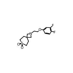 O=S1(=O)CCC2(CC1)CN(CCOc1ccc(F)c(F)c1)C2